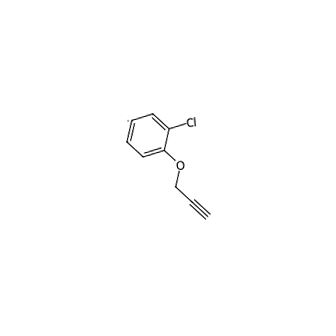 C#CCOc1cc[c]cc1Cl